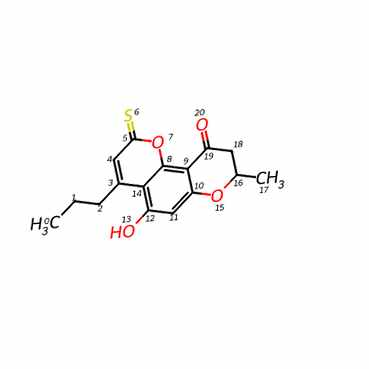 CCCc1cc(=S)oc2c3c(cc(O)c12)OC(C)CC3=O